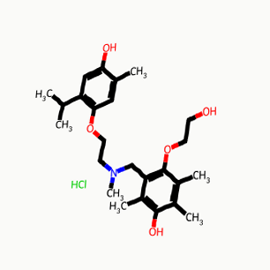 Cc1cc(OCCN(C)Cc2c(C)c(O)c(C)c(C)c2OCCO)c(C(C)C)cc1O.Cl